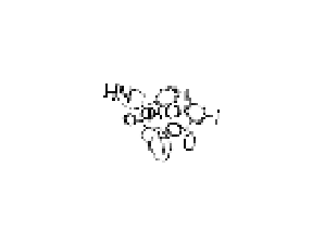 O=C(OC12CC3CC(C1)CC(C(=O)OC1(c4ccccc4)CCNCC1)(C3)C2)c1cc(I)cc(I)c1O